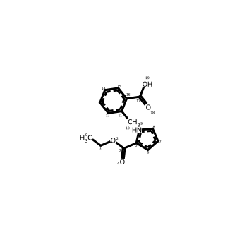 CCOC(=O)c1ccc[nH]1.Cc1ccccc1C(=O)O